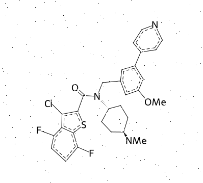 CN[C@H]1CC[C@H](N(Cc2cc(OC)cc(-c3ccncc3)c2)C(=O)c2sc3c(F)ccc(F)c3c2Cl)CC1